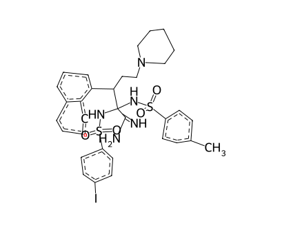 Cc1ccc(S(=O)(=O)NC(NS(=O)(=O)c2ccc(I)cc2)(C(=N)N)C(CCN2CCCCC2)c2cccc3ccccc23)cc1